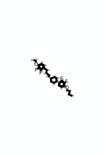 CCCCOc1ccc([C@H]2CC[C@H](C=CCCc3ccc(OCC)c(F)c3F)CC2)c(F)c1F